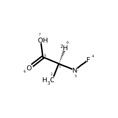 [2H][C@@](C)([N]F)C(=O)O